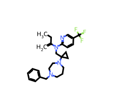 C=C(CC)N(CC1(N2CCCN(Cc3ccccc3)CC2)CC1)c1ccc(C(F)(F)F)cn1